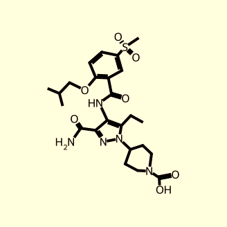 CCc1c(NC(=O)c2cc(S(C)(=O)=O)ccc2OCC(C)C)c(C(N)=O)nn1C1CCN(C(=O)O)CC1